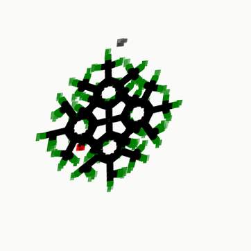 FC(F)(F)c1c([B-](c2c(C(F)(F)F)c(C(F)(F)F)c(C(F)(F)F)c(C(F)(F)F)c2C(F)(F)F)(c2c(C(F)(F)F)c(C(F)(F)F)c(C(F)(F)F)c(C(F)(F)F)c2C(F)(F)F)c2c(C(F)(F)F)c(C(F)(F)F)c(C(F)(F)F)c(C(F)(F)F)c2C(F)(F)F)c(C(F)(F)F)c(C(F)(F)F)c(C(F)(F)F)c1C(F)(F)F.[Li+]